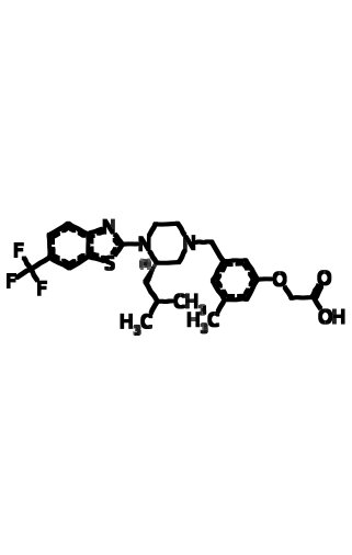 Cc1cc(CN2CCN(c3nc4ccc(C(F)(F)F)cc4s3)[C@H](CC(C)C)C2)cc(OCC(=O)O)c1